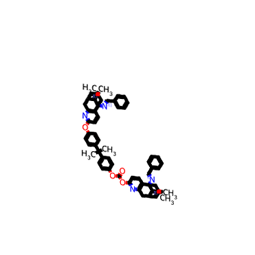 C/C=C1\C2C=C(C)CC1(/N=C/c1ccccc1)c1ccc(OC(=O)Oc3ccc(C(C)(C)c4ccc(Oc5ccc6c(n5)CC5C=C(C)CC6(/N=C/c6ccccc6)/C5=C/C)cc4)cc3)nc1C2